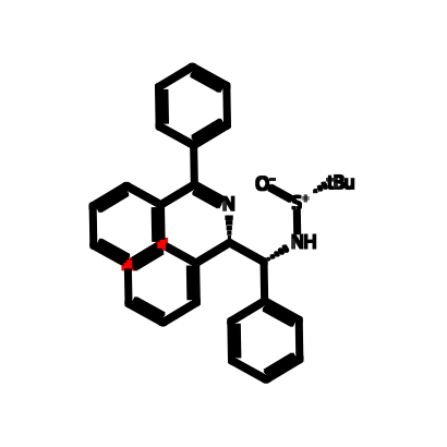 CC(C)(C)[S@@+]([O-])N[C@H](c1ccccc1)[C@@H](N=C(c1ccccc1)c1ccccc1)c1ccccc1